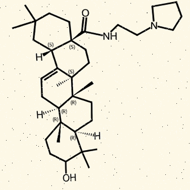 CC1(C)CC[C@]2(C(=O)NCCN3CCCC3)CC[C@]3(C)C(=CC[C@@H]4[C@@]5(C)CCC(O)C(C)(C)[C@@H]5CC[C@]43C)[C@@H]2C1